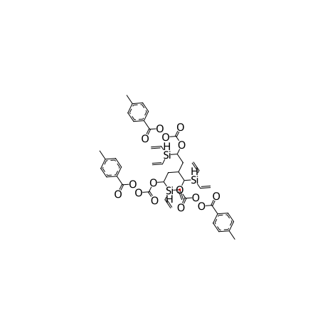 C=C[SiH](C=C)C(CC(CC(OC(=O)OOC(=O)c1ccc(C)cc1)[SiH](C=C)C=C)C(OC(=O)OOC(=O)c1ccc(C)cc1)[SiH](C=C)C=C)OC(=O)OOC(=O)c1ccc(C)cc1